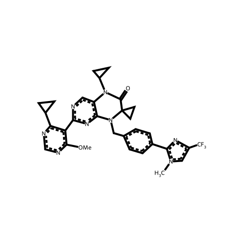 COc1ncnc(C2CC2)c1-c1ncc2c(n1)N(Cc1ccc(-c3nc(C(F)(F)F)cn3C)cc1)C1(CC1)C(=O)N2C1CC1